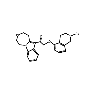 CC(=O)N1CCc2c(cccc2OCC(=O)c2c3n(c4ccccc24)CCNCC3)C1